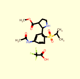 COC(=O)C1CCNC1c1cc(NC(C)=O)ccc1S(=O)(=O)C(C)C.O=C(O)C(F)(F)F